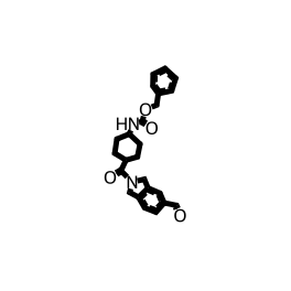 O=Cc1ccc2c(c1)CN(C(=O)C1CCC(NC(=O)OCc3ccccc3)CC1)C2